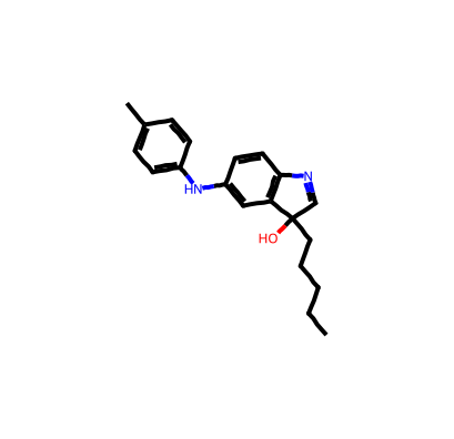 CCCCCC1(O)C=Nc2ccc(Nc3ccc(C)cc3)cc21